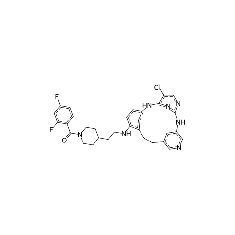 O=C(c1ccc(F)cc1F)N1CCC(CCNc2ccc3cc2CCc2cncc(c2)Nc2ncc(Cl)c(n2)N3)CC1